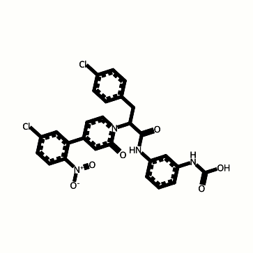 O=C(O)Nc1cccc(NC(=O)C(Cc2ccc(Cl)cc2)n2ccc(-c3cc(Cl)ccc3[N+](=O)[O-])cc2=O)c1